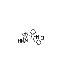 Clc1cccc2cc(COc3ncnc4[nH]cnc34)c(-c3ccccc3)nc12